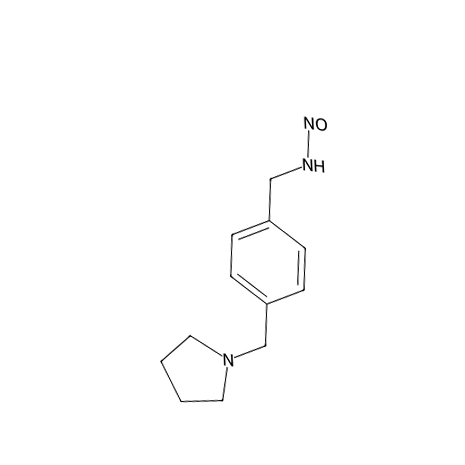 O=NNCc1ccc(CN2CCCC2)cc1